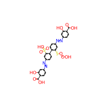 O=C(O)c1ccc(/N=N/c2ccc(-c3ccc(/N=N/c4ccc(C(=O)O)c(O)c4)cc3S(=O)(=O)O)c(SOOO)c2)cc1O